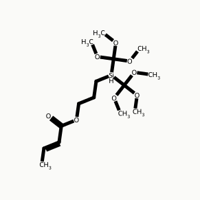 CC=CC(=O)OCCC[SiH](C(OC)(OC)OC)C(OC)(OC)OC